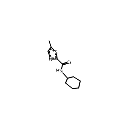 Cc1cnc(C(=O)NC2CCCCC2)s1